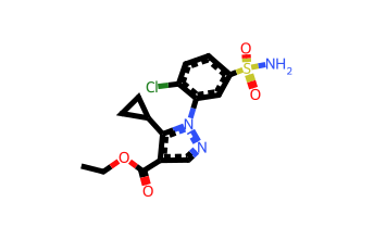 CCOC(=O)c1cnn(-c2cc(S(N)(=O)=O)ccc2Cl)c1C1CC1